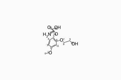 COc1cccc(OCCO)c1.NS(=O)(=O)O